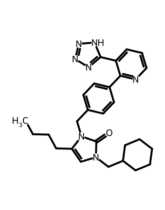 CCCCc1cn(CC2CCCCC2)c(=O)n1Cc1ccc(-c2ncccc2-c2nnn[nH]2)cc1